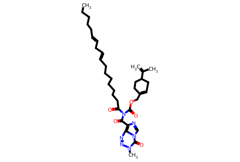 C=C(C)C1CC=C(COC(=O)N(C(=O)CCCCCCCC=CCC=CCCCCC)C(=O)c2ncn3c(=O)n(C)nnc23)CC1